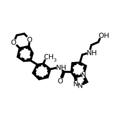 Cc1c(NC(=O)c2cc(CNCCO)cn3cnnc23)cccc1-c1ccc2c(c1)OCCO2